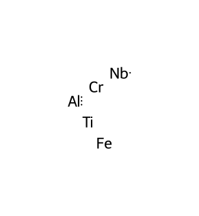 [Al].[Cr].[Fe].[Nb].[Ti]